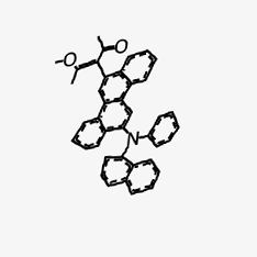 CO/C(C)=C(\C(C)=O)c1cc2c3ccccc3c(N(c3ccccc3)c3cccc4ccccc34)cc2c2ccccc12